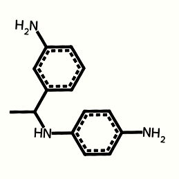 CC(Nc1ccc(N)cc1)c1cccc(N)c1